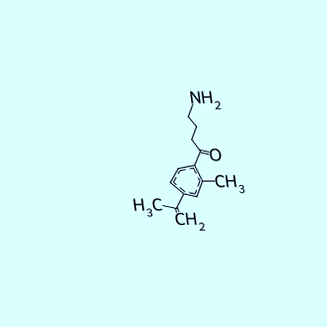 C=C(C)c1ccc(C(=O)CCCN)c(C)c1